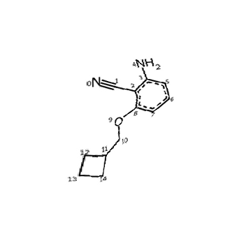 N#Cc1c(N)cccc1OCC1CCC1